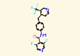 O=C(Nc1ccc(Cc2ccncc2C(F)(F)F)cc1)c1c(F)cncc1F